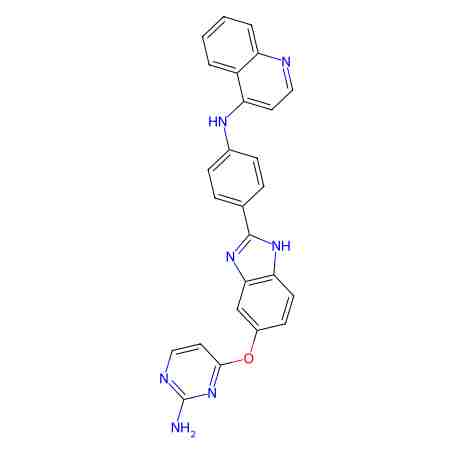 Nc1nccc(Oc2ccc3[nH]c(-c4ccc(Nc5ccnc6ccccc56)cc4)nc3c2)n1